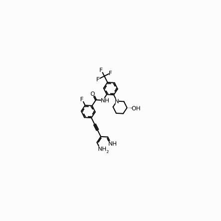 N=C/C(C#Cc1ccc(F)c(C(=O)Nc2cc(C(F)(F)F)ccc2N2CCC[C@@H](O)C2)c1)=C\N